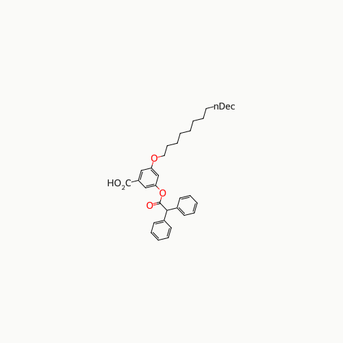 CCCCCCCCCCCCCCCCCCOc1cc(OC(=O)C(c2ccccc2)c2ccccc2)cc(C(=O)O)c1